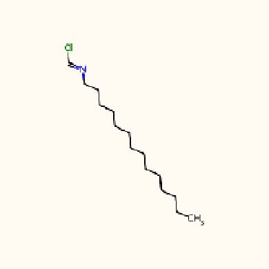 CCCCCCCCCCCCCCN=CCl